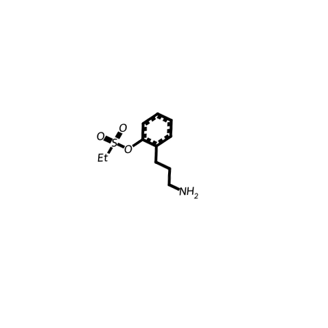 CCS(=O)(=O)Oc1ccccc1CCCN